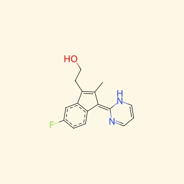 CC1=C(CCO)c2cc(F)ccc2C1=C1N=CC=CN1